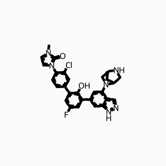 Cn1ccn(-c2ccc(-c3cc(F)cc(-c4cc(N5CC6CC5CN6)c5cn[nH]c5c4)c3O)cc2Cl)c1=O